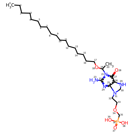 CCCCCCCCCCCCCCCCCCOC(C)n1c(N)nc2c(c1=O)NCN2CCOCP(=O)(O)O